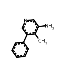 Cc1c(-c2ccccc2)[c]ncc1N